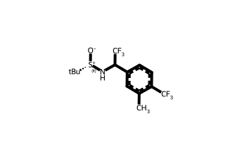 Cc1cc(C(N[S@@+]([O-])C(C)(C)C)C(F)(F)F)ccc1C(F)(F)F